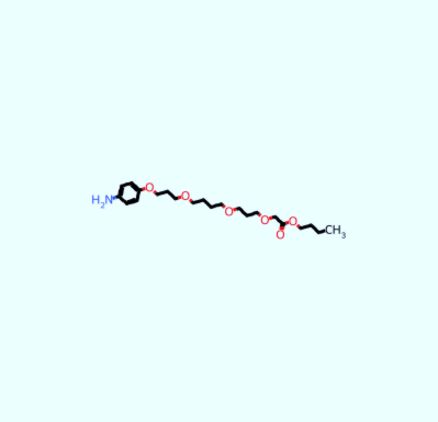 CCCCOC(=O)COCCCOCCCCOCCCOc1ccc(N)cc1